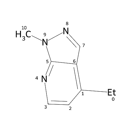 CCc1ccnc2c1cnn2C